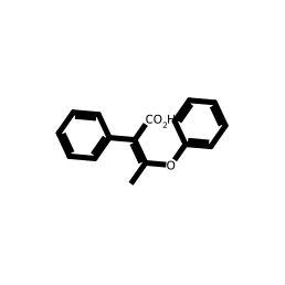 CC(Oc1ccccc1)=C(C(=O)O)c1ccccc1